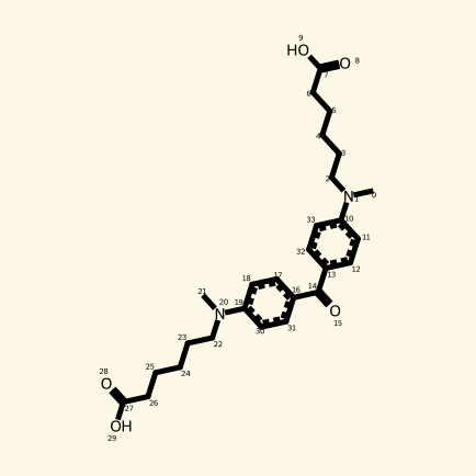 CN(CCCCCC(=O)O)c1ccc(C(=O)c2ccc(N(C)CCCCCC(=O)O)cc2)cc1